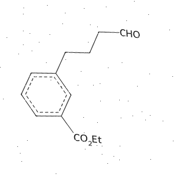 CCOC(=O)c1cccc(CCCC=O)c1